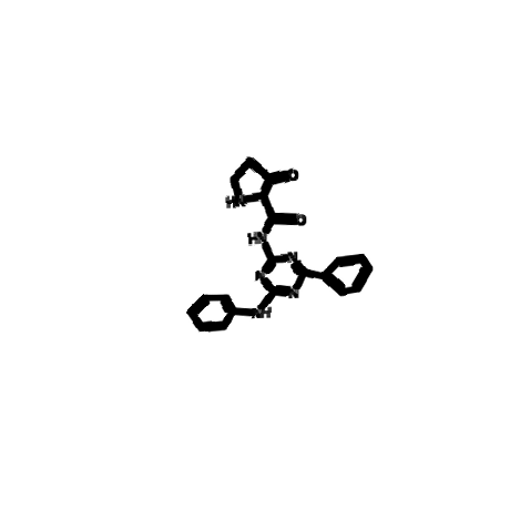 O=C1CCNC1C(=O)Nc1nc(Nc2ccccc2)nc(-c2ccccc2)n1